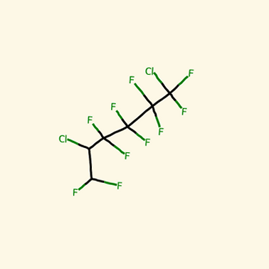 FC(F)C(Cl)C(F)(F)C(F)(F)C(F)(F)C(F)(F)Cl